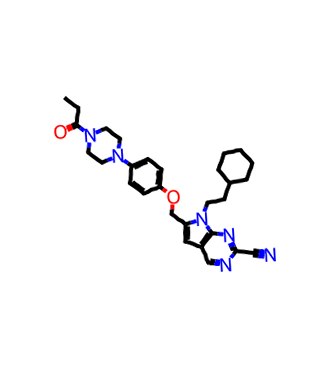 CCC(=O)N1CCN(c2ccc(OCc3cc4cnc(C#N)nc4n3CCC3CCCCC3)cc2)CC1